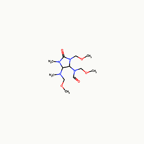 COCN(C)C1C(N(C=O)COC)N(COC)C(=O)N1C